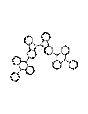 c1ccc(B2c3ccccc3B(c3ccc4c(c3)c3ccccc3n4-n3c4ccccc4c4cc(B5c6ccccc6B(c6ccccc6)c6ccccc65)ccc43)c3ccccc32)cc1